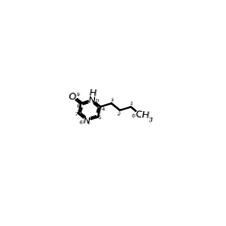 CCCCc1cncc(=O)[nH]1